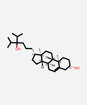 CC(C)C(O)(CCC[C@H]1CC[C@H]2[C@@H]3CC=C4C[C@@H](O)CC[C@]4(C)[C@H]3CC[C@]12C)C(C)C